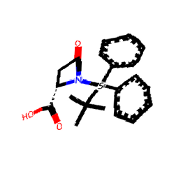 CC(C)(C)[Si](c1ccccc1)(c1ccccc1)N1C(=O)C[C@H]1C(=O)O